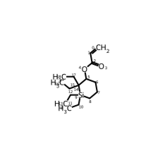 C=CC(=O)OC1CCC[Si](CC)(CC)C1(CC)CC